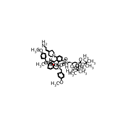 COc1ccc(CN(Cc2ccc(OC)cc2)S(=O)(=O)c2c(S(=O)(=O)NC[C@@H](CNC(=O)OC(C)(C)C)O[Si](C)(C)C(C)(C)C)ccc(N3CCC(=CCN)CC3)c2-c2nnn(Cc3ccc(OC)cc3)n2)cc1